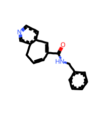 O=C(NCc1ccccc1)C1=Cc2ccncc2CC=C1